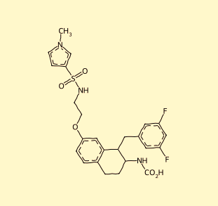 Cn1ccc(S(=O)(=O)NCCOc2ccc3c(c2)C(Cc2cc(F)cc(F)c2)C(NC(=O)O)CC3)c1